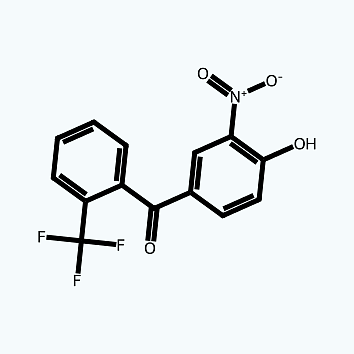 O=C(c1ccc(O)c([N+](=O)[O-])c1)c1ccccc1C(F)(F)F